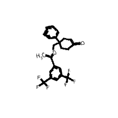 CC(OCC1(c2ccccc2)CCC(=O)CC1)c1cc(C(F)(F)F)cc(C(F)(F)F)c1